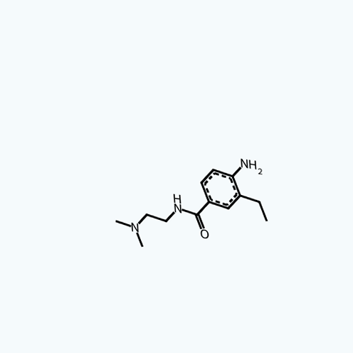 CCc1cc(C(=O)NCCN(C)C)ccc1N